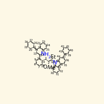 CC/C(=C\Cc1c(OC)cccc1/C(N)=C/C(=C1/C=CC=CC1)c1ccccc1)n1c2ccccc2c2ccc(-c3ccccc3)cc21